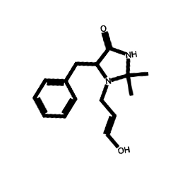 CC1(C)NC(=O)C(Cc2ccccc2)N1CC=CO